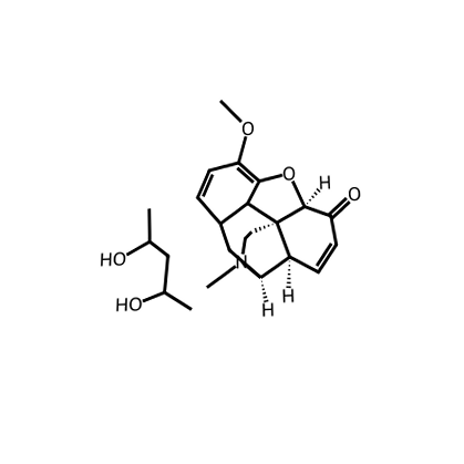 CC(O)CC(C)O.COC1=C2O[C@H]3C(=O)C=C[C@H]4[C@H]5CC(C=C1)C2[C@@]34CCN5C